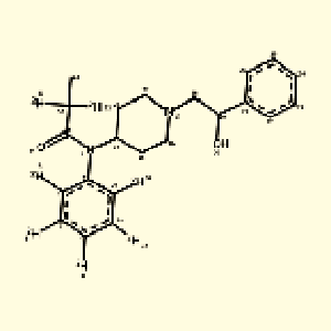 [2H]c1c([2H])c([2H])c(N(C(=O)C([2H])([2H])C)C2CCN(CC(O)c3ccccc3)CC2)c([2H])c1[2H]